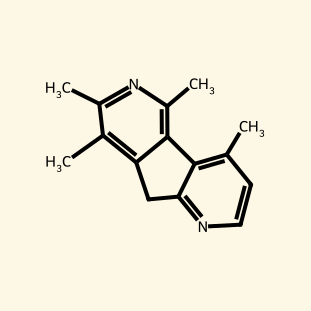 Cc1ccnc2c1-c1c(C)nc(C)c(C)c1C2